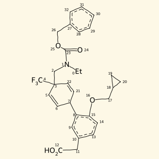 CCN(CC1(C(F)(F)F)C=CC(c2cc(CC(=O)O)ccc2OCC2CC2)C=C1)C(=O)OCc1ccccc1